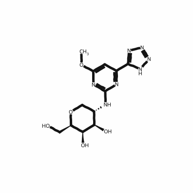 COc1cc(-c2nnn[nH]2)nc(N[C@H]2CO[C@H](CO)[C@H](O)[C@@H]2O)n1